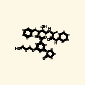 C[C@H](NC[C@@H](O)[C@H](Cc1ccccc1)NC(=O)c1cc(OCCCO)cc(N2CCCC2=O)c1)C(=O)NC1CCCCC1